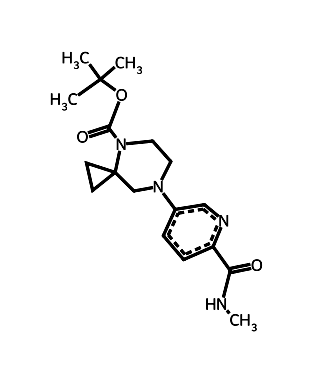 CNC(=O)c1ccc(N2CCN(C(=O)OC(C)(C)C)C3(CC3)C2)cn1